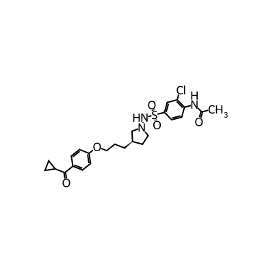 CC(=O)Nc1ccc(S(=O)(=O)NN2CC[C@@H](CCCOc3ccc(C(=O)C4CC4)cc3)C2)cc1Cl